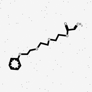 C=CC(=O)OCCOCCOCCOc1ccccc1